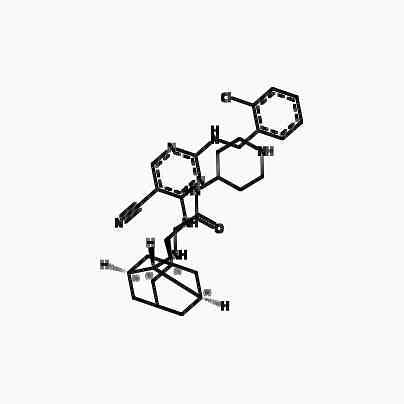 N#Cc1cnc(NCc2ccccc2Cl)nc1NC[C@]12CC3C[C@H](C1)[C@@H](NCC(=O)NC1CCNCC1)[C@@H](C3)C2